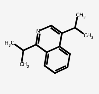 CC(C)c1cnc(C(C)C)c2ccccc12